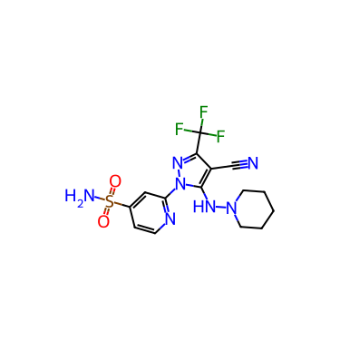 N#Cc1c(C(F)(F)F)nn(-c2cc(S(N)(=O)=O)ccn2)c1NN1CCCCC1